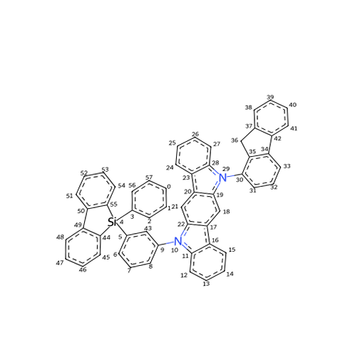 c1ccc([Si]2(c3cccc(-n4c5ccccc5c5cc6c(cc54)c4ccccc4n6-c4cccc5c4Cc4ccccc4-5)c3)c3ccccc3-c3ccccc32)cc1